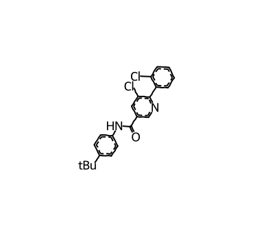 CC(C)(C)c1ccc(NC(=O)c2cnc(-c3ccccc3Cl)c(Cl)c2)cc1